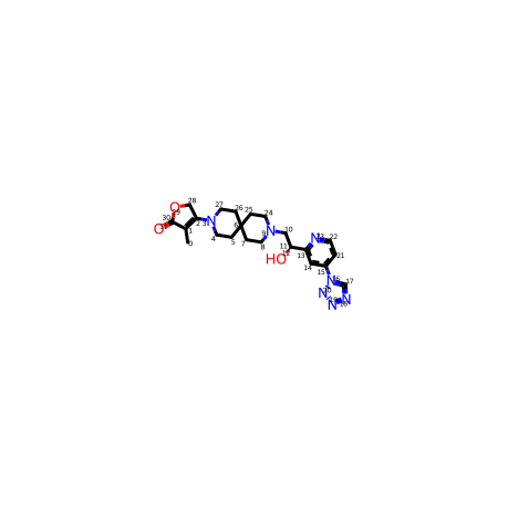 CC1=C(N2CCC3(CCN(C[C@H](O)c4cc(-n5cnnn5)ccn4)CC3)CC2)COC1=O